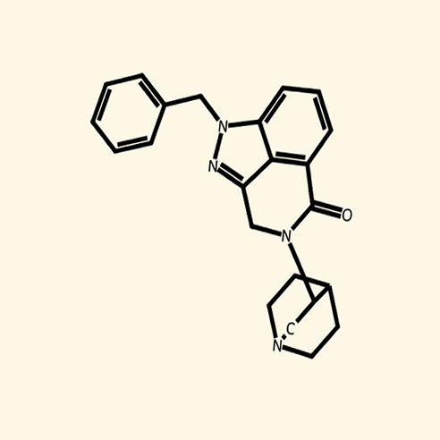 O=C1c2cccc3c2c(nn3Cc2ccccc2)CN1C1CN2CCC1CC2